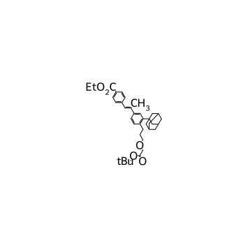 CCOC(=O)c1ccc(C=C(C)c2ccc(CCCOCC(=O)OC(C)(C)C)c(C34CC5CC(CC(C5)C3)C4)c2)cc1